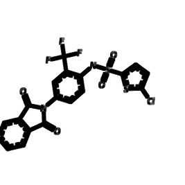 O=C1c2ccccc2C(=O)N1c1ccc([N]S(=O)(=O)c2ccc(Cl)s2)c(C(F)(F)F)c1